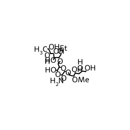 CCOCC(OCC1OC(OCC(OC)C(O)CC(O)CO)C(ON)OC1O)C(O)C(O)C(O)C(C)O